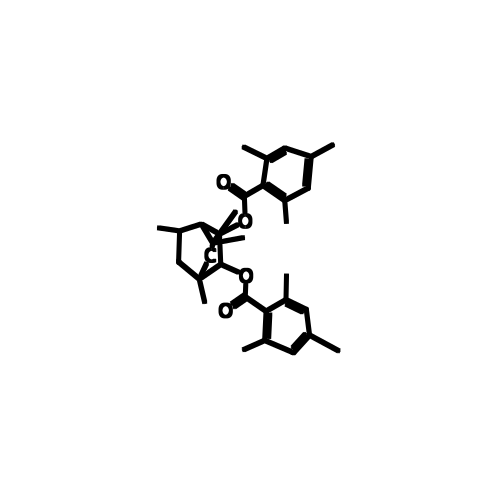 Cc1cc(C)c(C(=O)OC2C3C(C)CC(C)(CC3(C)C)C2OC(=O)c2c(C)cc(C)cc2C)c(C)c1